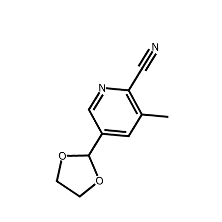 Cc1cc(C2OCCO2)cnc1C#N